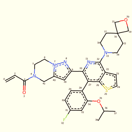 C=CC(=O)N1CCn2nc(-c3nc(N4CCC5(CC4)COC5)c4ccsc4c3-c3ccc(F)cc3OC(C)C)cc2C1